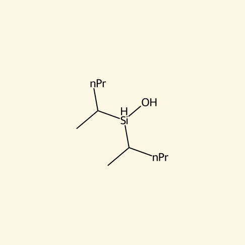 CCCC(C)[SiH](O)C(C)CCC